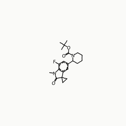 CN1C(=O)C2(CC2)c2cc(C3CCCCN3C(=O)OC(C)(C)C)cc(F)c21